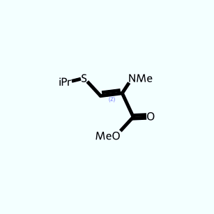 CN/C(=C\SC(C)C)C(=O)OC